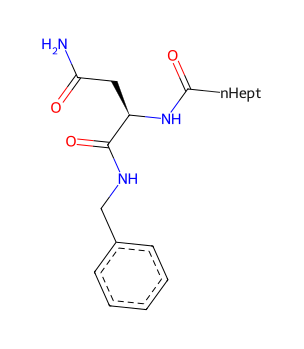 CCCCCCCC(=O)N[C@H](CC(N)=O)C(=O)NCc1ccccc1